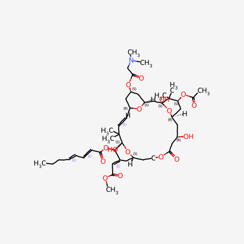 CCC/C=C/C=C/C(=O)OC1/C(=C/C(=O)OC)C[C@H]2CCOC(=O)C[C@H](O)C[C@@H]3C[C@H](OC(C)=O)C(C)(C)[C@](O)(C[C@@H]4C[C@H](OC(=O)CN(C)C)C[C@H](/C=C/C(C)(C)[C@]1(O)O2)O4)O3